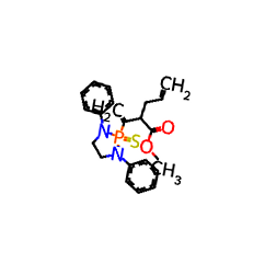 C=CCC(C(=C)P1(=S)N(c2ccccc2)CCN1c1ccccc1)C(=O)OCC